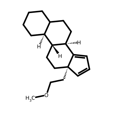 COCC[C@@]12C=CC=C1[C@@H]1CCC3CCCC[C@@H]3[C@H]1CC2